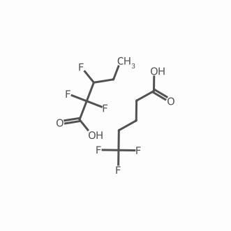 CCC(F)C(F)(F)C(=O)O.O=C(O)CCCC(F)(F)F